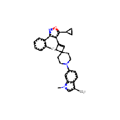 Cn1cc(C(=O)O)c2ccc(N3CCC4(C=C(c5c(-c6ccccc6C(F)(F)F)noc5C5CC5)C4)CC3)cc21